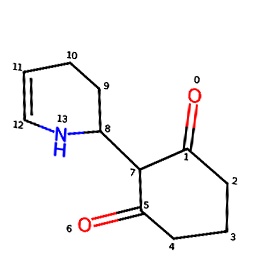 O=C1CCCC(=O)C1C1CCC=CN1